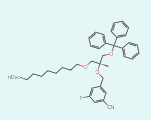 CCCCCCCCCCCCCCCCCCOC[C@](C)(COC(c1ccccc1)(c1ccccc1)c1ccccc1)OCc1cc(F)cc(C#N)c1